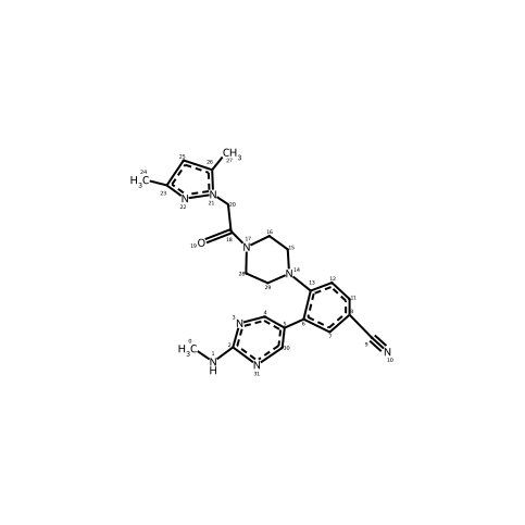 CNc1ncc(-c2cc(C#N)ccc2N2CCN(C(=O)Cn3nc(C)cc3C)CC2)cn1